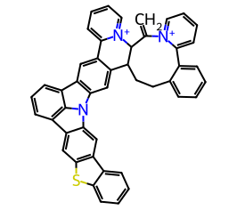 C=C1C2C(CCc3ccccc3-c3cccc[n+]31)c1cc3c(cc1-c1cccc[n+]12)c1cccc2c4cc5sc6ccccc6c5cc4n3c12